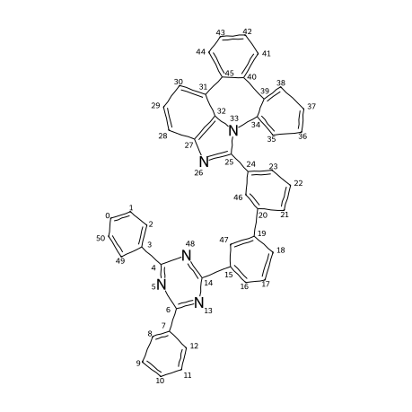 c1ccc(-c2nc(-c3ccccc3)nc(-c3cccc(-c4cccc(-c5nc6cccc7c6n5-c5ccccc5-c5ccccc5-7)c4)c3)n2)cc1